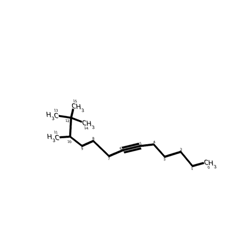 CCCCCC#CCCCC(C)C(C)(C)C